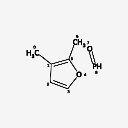 Cc1ccoc1C.O=P